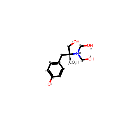 O=C(O)[C@](CO)(Cc1ccc(O)cc1)N(CO)CO